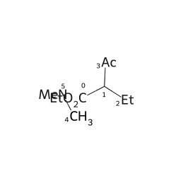 CCOC(=O)C(CC)C(C)=O.CNC